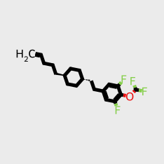 C=CCCC[C@H]1CC[C@H](CCc2cc(F)c(OC(F)F)c(F)c2)CC1